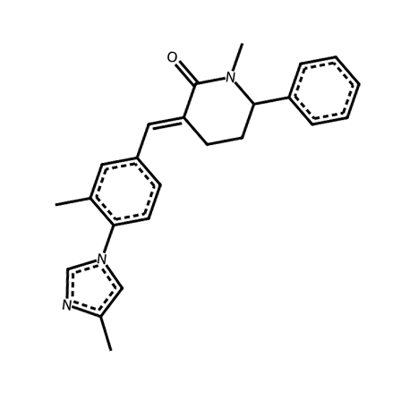 Cc1cn(-c2ccc(/C=C3\CCC(c4ccccc4)N(C)C3=O)cc2C)cn1